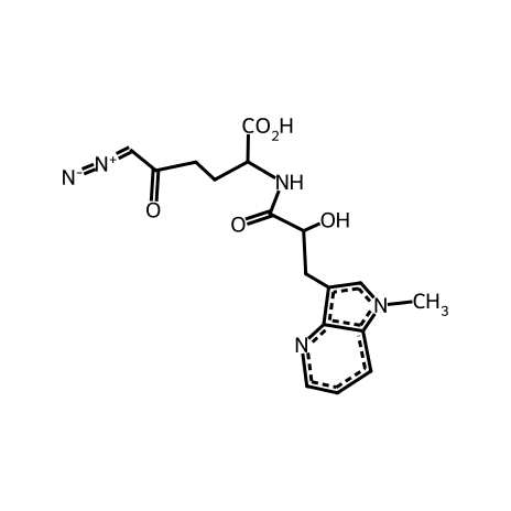 Cn1cc(CC(O)C(=O)NC(CCC(=O)C=[N+]=[N-])C(=O)O)c2ncccc21